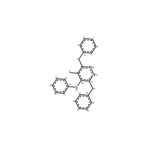 Cc1c(Cc2ccccc2)nnc(Cc2ccccc2)c1Sc1ccccc1